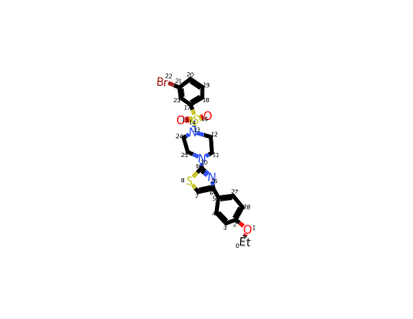 CCOc1ccc(-c2csc(N3CCN(S(=O)(=O)c4cccc(Br)c4)CC3)n2)cc1